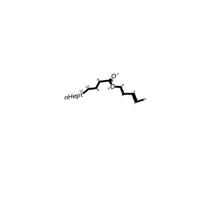 CC=CCCOC(=O)CCCCCCCCCC